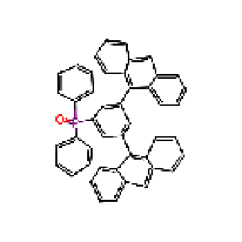 O=P(c1ccccc1)(c1ccccc1)c1cc(-c2c3ccccc3cc3ccccc23)cc(-c2c3ccccc3cc3ccccc23)c1